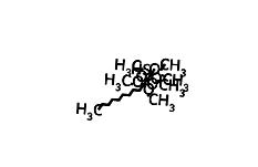 CCCCCCCCCC(OCC)(OCC)C(OCC)(OCC)C(S)(OCC)OCC